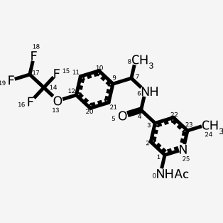 CC(=O)Nc1cc(C(=O)NC(C)c2ccc(OC(F)(F)C(F)F)cc2)cc(C)n1